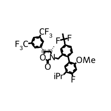 COc1cc(F)c(C(C)C)cc1-c1ccc(C(C)(F)F)cc1CN1C(=O)O[C@H](c2cc(C(F)(F)F)cc(C(F)(F)F)c2)[C@@H]1C